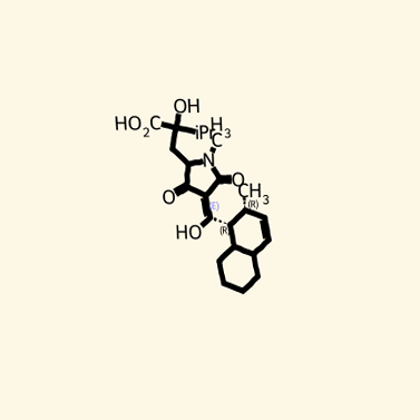 CC(C)C(O)(CC1C(=O)/C(=C(\O)[C@H]2C3CCCCC3C=C[C@H]2C)C(=O)N1C)C(=O)O